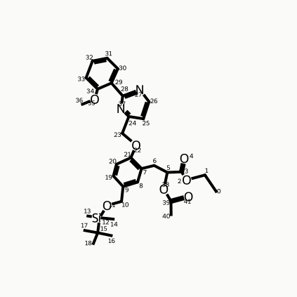 CCOC(=O)C(Cc1cc(CO[Si](C)(C)C(C)(C)C)ccc1OCc1ccnc(-c2ccccc2OC)n1)OC(C)=O